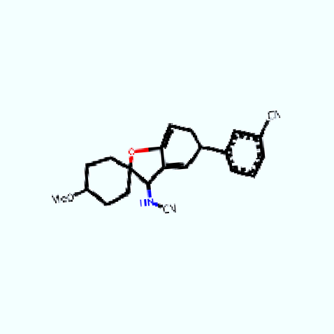 COC1CCC2(CC1)OC1=CCC(c3cccc(C#N)c3)C=C1C2NC#N